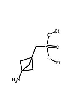 CCOP(=O)(CC12CC(N)(C1)C2)OCC